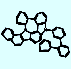 c1ccc(-c2ccccc2-c2cccc(-n3c4cccc5c6ccccc6n6c7c8ccccc8ccc7c7ccc3c(c54)c76)c2)cc1